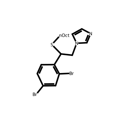 CCCCCCCCSC(Cn1ccnc1)c1ccc(Br)cc1Br